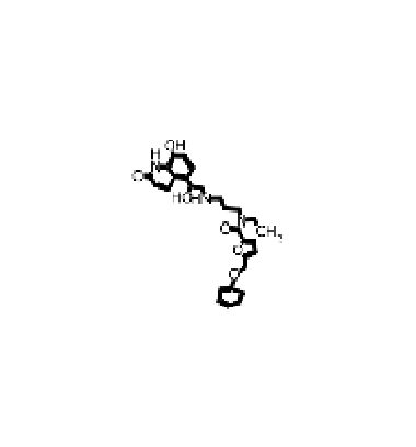 CCN(CCCNCC(O)c1ccc(O)c2[nH]c(=O)ccc12)C(=O)c1ccc(COc2ccccc2)o1